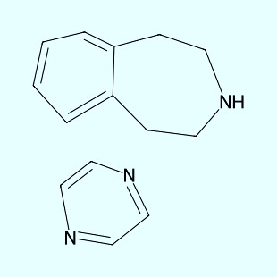 c1ccc2c(c1)CCNCC2.c1cnccn1